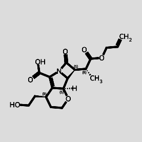 C=CCOC(=O)[C@H](C)[C@@H]1C(=O)N2C(C(=O)O)=C3[C@H](CCO)CCO[C@@H]3C12